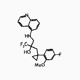 COc1cc(F)ccc1C1(CC(O)(CNc2cccc3ncccc23)C(F)(F)F)CC1